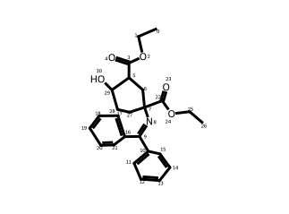 CCOC(=O)C1CC(N=C(c2ccccc2)c2ccccc2)(C(=O)OCC)CCC1O